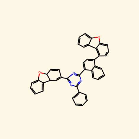 C1=CC2Oc3ccccc3C2C=C1c1nc(-c2ccccc2)nc(-c2ccc(-c3cccc4oc5ccccc5c34)c3ccccc23)n1